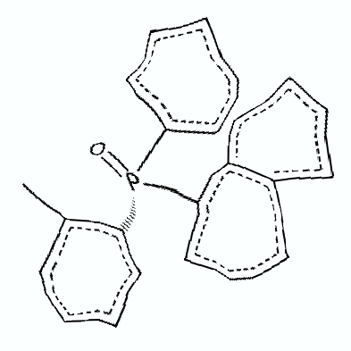 Cc1ccccc1[P@](=O)(c1ccccc1)c1cccc2ccccc12